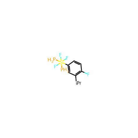 CC(C)c1cc(S(F)(F)(F)(P)P)ccc1F